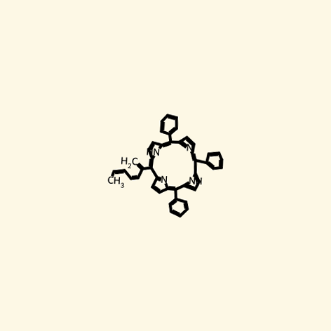 C=C(/C=C\C=C/C)c1c2nc(c(-c3ccccc3)c3ccc([nH]3)c(-c3ccccc3)c3nc(c(-c4ccccc4)c4ccc1[nH]4)C=C3)C=C2